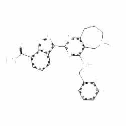 CN1CCCc2nc(-c3noc4c(C(N)=O)cccc34)nc(NCc3ccccc3)c2C1